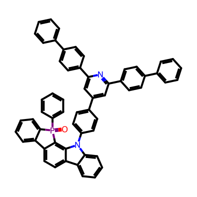 O=P1(c2ccccc2)c2ccccc2-c2ccc3c4ccccc4n(-c4ccc(-c5cc(-c6ccc(-c7ccccc7)cc6)nc(-c6ccc(-c7ccccc7)cc6)c5)cc4)c3c21